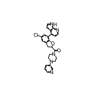 O=C(C1Cc2cc(Cl)cc(-c3ccnc4[nH]ccc34)c2O1)N1CCN(c2cccnc2)CC1